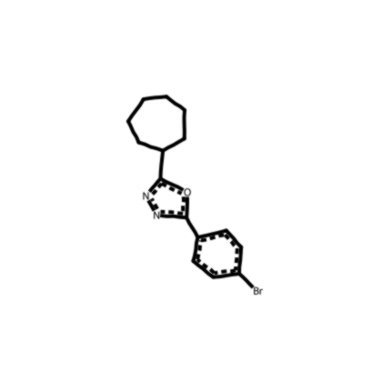 Brc1ccc(-c2nnc(C3CCCCCC3)o2)cc1